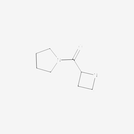 O=C(C1CC[N]1)N1CCCC1